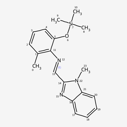 Cc1cccc(O[Si](C)(C)C)c1/N=C/c1nc2ccccc2n1C